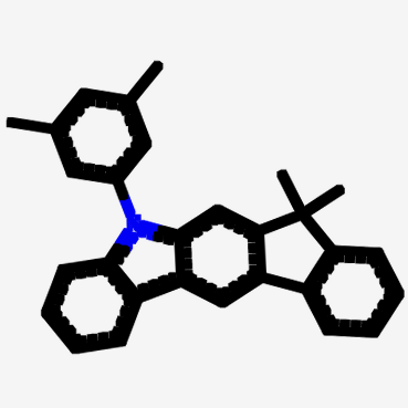 Cc1cc(C)cc(-n2c3ccccc3c3cc4c(cc32)C(C)(C)c2ccccc2-4)c1